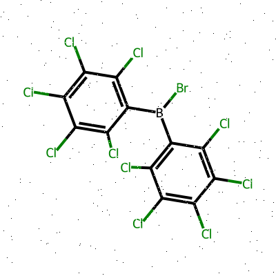 Clc1c(Cl)c(Cl)c(B(Br)c2c(Cl)c(Cl)c(Cl)c(Cl)c2Cl)c(Cl)c1Cl